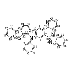 c1ccc(-n2c3cc4c(cc3c3ccc5c6ccccc6sc5c32)c2ncccc2n2c3ccccc3nc42)cc1